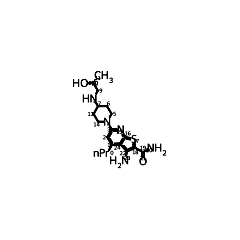 CCCc1cc(N2CCC(NC[C@@H](C)O)CC2)nc2sc(C(N)=O)c(N)c12